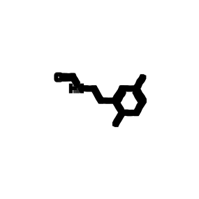 CC1=CCC(C)C(CCNC=O)=C1